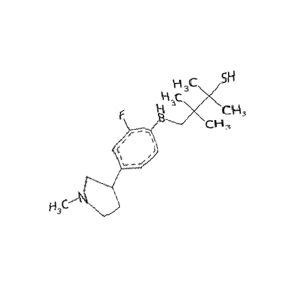 CN1CCC(c2ccc(BCC(C)(C)C(C)(C)S)c(F)c2)C1